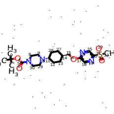 CC(C)(C)OC(=O)N1CCN([C@H]2CC[C@H](COc3cnc(S(C)(=O)=O)cn3)CC2)CC1